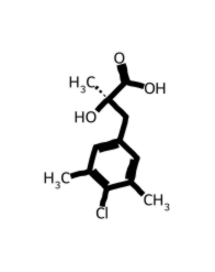 Cc1cc(C[C@@](C)(O)C(=O)O)cc(C)c1Cl